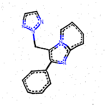 c1ccc(-c2nc3ccccn3c2Cn2nccn2)cc1